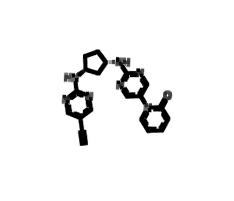 C#Cc1cnc(N[C@H]2CC[C@H](Nc3ncc(-n4ccccc4=O)cn3)C2)nc1